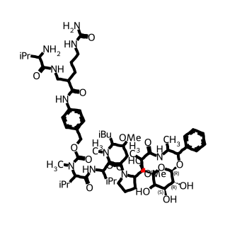 CCC(C)C(C(CC(=O)N1CCCC1C(OC)C(C)C(=O)NC(C)C(O[C@@H]1O[C@H](CO)C(O)[C@H](O)[C@H]1O)c1ccccc1)OC)N(C)C(=O)C(NC(=O)C(C(C)C)N(C)C(=O)OCc1ccc(NC(=O)C(CCCNC(N)=O)CNC(=O)C(N)C(C)C)cc1)C(C)C